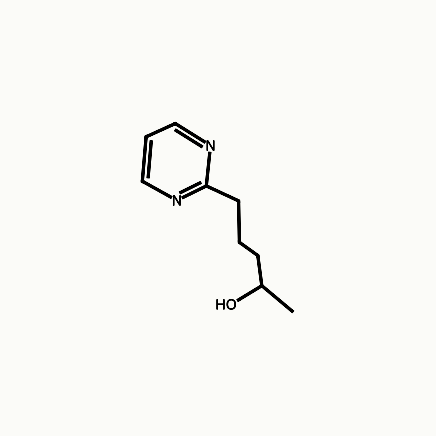 CC(O)CCCc1ncccn1